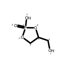 O=P1(O)OCC(CO)O1